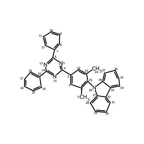 Cc1cc(-c2nc(-c3ccccc3)nc(-c3ccccc3)n2)cc(C)c1-n1c2ccccc2c2ccccc21